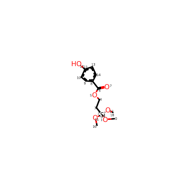 CO[Si](CCOC(=O)c1ccc(O)cc1)(OC)OC